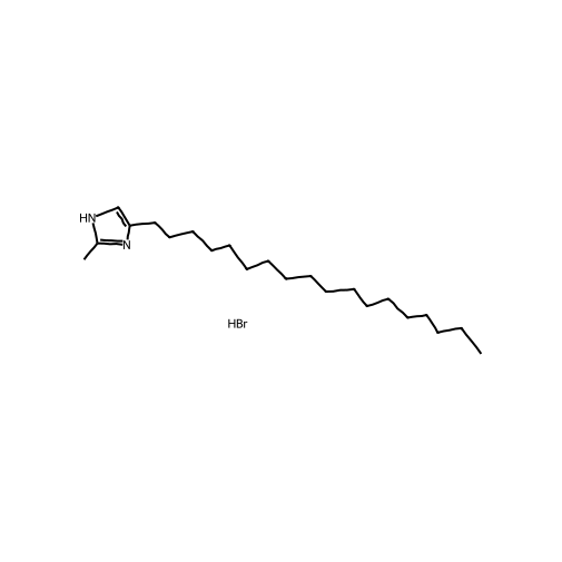 Br.CCCCCCCCCCCCCCCCCCc1c[nH]c(C)n1